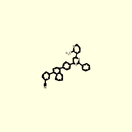 Cc1ncccc1-c1cc(-c2ccc(-c3ccc(-c4cccc(C#N)c4)c4ccccc34)cc2)nc(-c2ccccc2)n1